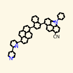 N#Cc1ccc2c3c1ccc1c(-c4ccc(-c5ccc6ccc7c(-c8cccc(-c9ccncc9)n8)ccc8ccc5c6c87)c5ccccc45)ccc(c13)n2-c1ccccc1